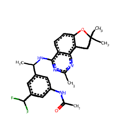 CC(=O)Nc1cc(C(F)F)cc(C(C)Nc2nc(C)nc3c4c([c]cc23)OC(C)(C)C4)c1